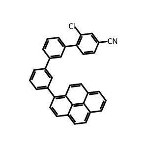 N#Cc1ccc(-c2cccc(-c3cccc(-c4ccc5ccc6cccc7ccc4c5c67)c3)c2)c(Cl)c1